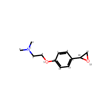 CN(C)CCOc1ccc(C2CO2)cc1